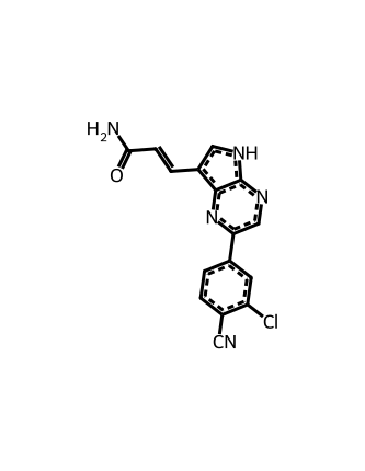 N#Cc1ccc(-c2cnc3[nH]cc(C=CC(N)=O)c3n2)cc1Cl